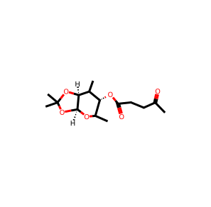 CC(=O)CCC(=O)O[C@@H]1C(C)O[C@H]2OC(C)(C)O[C@H]2C1C